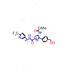 COC(=O)N(C)[C@H]1CN(C(=O)N[C@H](C)c2ccc(C(F)(F)F)nc2)N=C1c1ccc(CO)cc1